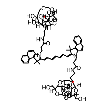 CC1(C)C(/C=C/C=C/C=C/C=C2/N(CCC(=O)NCCCO[C@H]3[C@H]4CCCOC5[C@@H](CO)OC(OC([C@@H](CO)O4)[C@@H]3O)[C@H](O)[C@H]5O)c3ccc4ccccc4c3C2(C)C)=[N+](CCC(=O)NCCCO[C@H]2[C@@H]3OC[C@@H](OCCCC4O[C@H](CO)C(O3)[C@H](O)[C@H]4O)[C@@H]2O)c2ccc3ccccc3c21